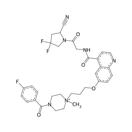 C[N+]1(CCCOc2ccc3nccc(C(=O)NCC(=O)N4CC(F)(F)CC4C#N)c3c2)CCN(C(=O)c2ccc(F)cc2)CC1